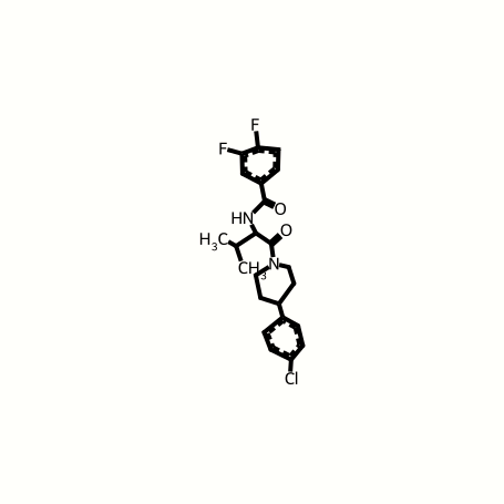 CC(C)C(NC(=O)c1ccc(F)c(F)c1)C(=O)N1CCC(c2ccc(Cl)cc2)CC1